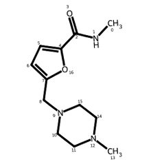 CNC(=O)c1ccc(CN2CCN(C)CC2)o1